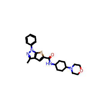 Cc1nn(-c2ccccc2)c2sc(C(=O)NC3CCC(N4CCOCC4)CC3)cc12